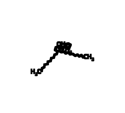 CCCCCCCCCCCCc1ccc(O)c(C(C)(C)c2ccccc2)c1CCCCCCCCCCCC